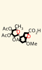 COc1ccc([C@H]2O[C@@H](C)[C@@H](OC(C)=O)[C@@H](OC(C)=O)[C@@H]2OC(C)=O)c2cc(C(=O)O)oc12